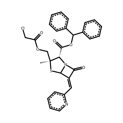 C[C@@]1(COC(=O)CCl)SC2/C(=C\c3ccccn3)C(=O)N2[C@H]1C(=O)OC(c1ccccc1)c1ccccc1